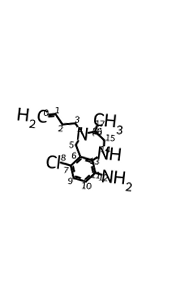 C=CCCN1Cc2c(Cl)ccc(N)c2NC[C@@H]1C